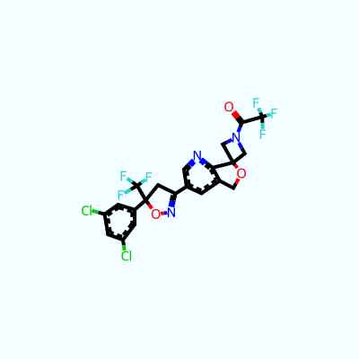 O=C(N1CC2(C1)OCc1cc(C3=NOC(c4cc(Cl)cc(Cl)c4)(C(F)(F)F)C3)cnc12)C(F)(F)F